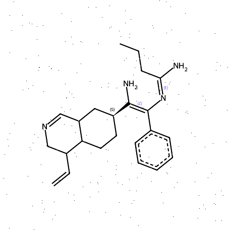 C=CC1CN=CC2C[C@@H](/C(N)=C(/N=C(/N)CCC)c3ccccc3)CCC12